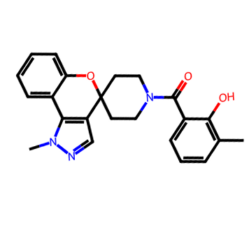 Cc1cccc(C(=O)N2CCC3(CC2)Oc2ccccc2-c2c3cnn2C)c1O